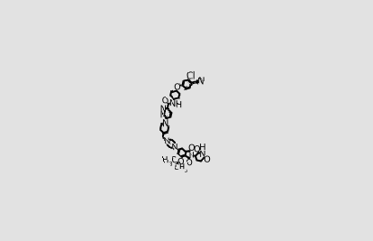 CC(C)Oc1cc(N2CCN(CC3CCN(c4ccc(C(=O)NC5CCC(Oc6ccc(C#N)c(Cl)c6)CC5)nn4)CC3)CC2)cc2c1C(=O)N(C1CCC(=O)NC1=O)C2=O